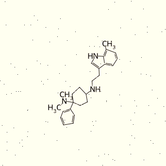 Cc1cccc2c(CCNC3CCC(c4ccccc4)(N(C)C)CC3)c[nH]c12